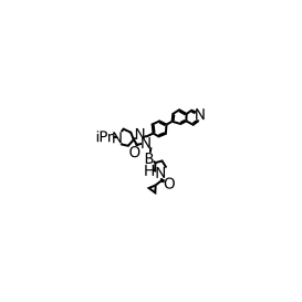 CC(C)N1CCC2(CC1)N=C(c1ccc(-c3ccc4cnccc4c3)cc1)N(CBC1CCN(C(=O)C3CC3)C1)C2=O